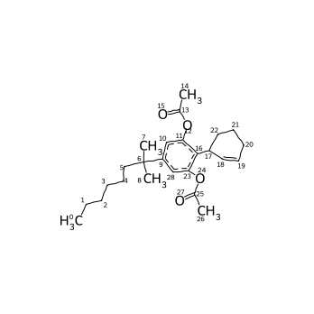 CCCCCCC(C)(C)c1cc(OC(C)=O)c(C2C=CCCC2)c(OC(C)=O)c1